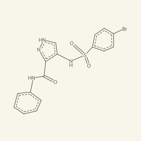 O=C(Nc1ccccc1)c1n[nH]cc1NS(=O)(=O)c1ccc(Br)cc1